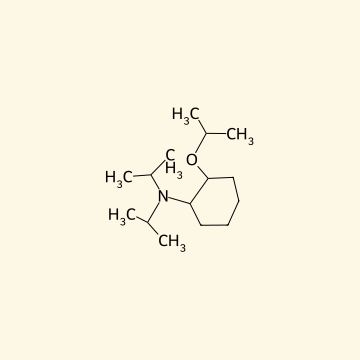 CC(C)OC1CCCCC1N(C(C)C)C(C)C